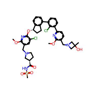 COc1nc(-c2cccc(-c3cccc4c3CC[C@@H]4Oc3nc(OC)c(CN4CC[C@@H](C(=O)NS(C)(=O)=O)C4)cc3Cl)c2Cl)ccc1CN1CC(C)(O)C1